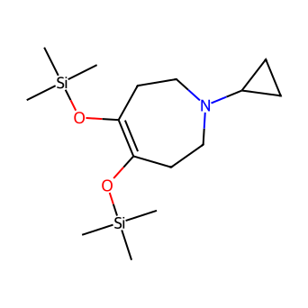 C[Si](C)(C)OC1=C(O[Si](C)(C)C)CCN(C2CC2)CC1